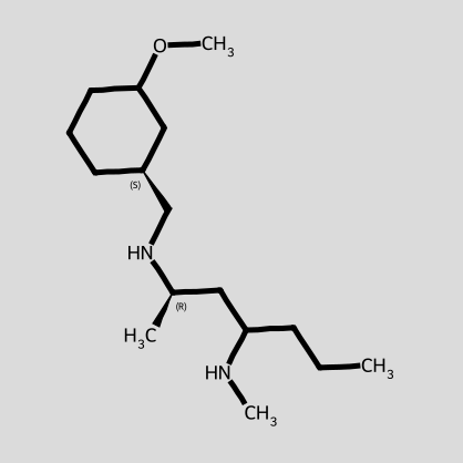 CCCC(C[C@@H](C)NC[C@H]1CCCC(OC)C1)NC